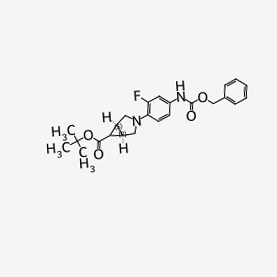 CC(C)(C)OC(=O)C1[C@H]2CN(c3ccc(NC(=O)OCc4ccccc4)cc3F)C[C@@H]12